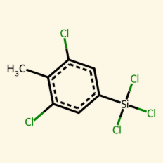 Cc1c(Cl)cc([Si](Cl)(Cl)Cl)cc1Cl